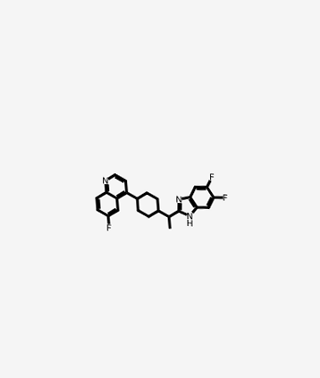 CC(c1nc2cc(F)c(F)cc2[nH]1)C1CCC(c2ccnc3ccc(F)cc23)CC1